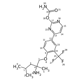 CC(C)CC(C)(N)COc1ccc(-c2ccnc(OC(N)=O)n2)cc1C(F)(F)F